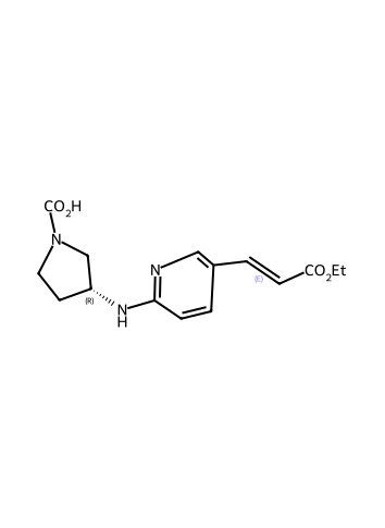 CCOC(=O)/C=C/c1ccc(N[C@@H]2CCN(C(=O)O)C2)nc1